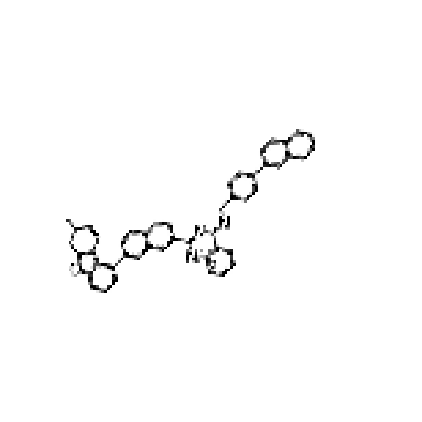 CC1C=Cc2c(oc3cccc(-c4ccc5ccc(/C(N)=N/C(=N\Cc6ccc(-c7ccc8ccccc8c7)cc6)c6ccccc6)cc5c4)c23)C1